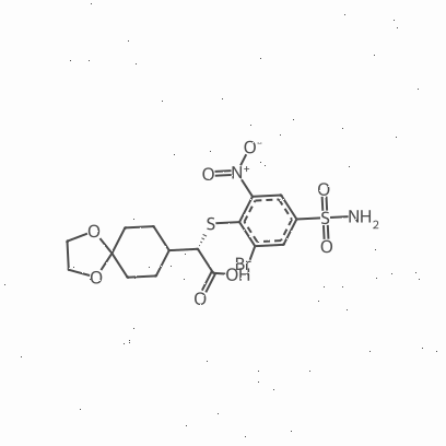 NS(=O)(=O)c1cc(Br)c(S[C@H](C(=O)O)C2CCC3(CC2)OCCO3)c([N+](=O)[O-])c1